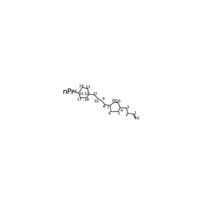 C=CCCC1CCC(CCCCC2CCC(CCC)CC2)CC1